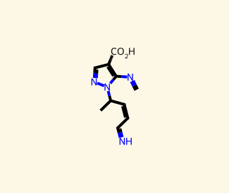 C=Nc1c(C(=O)O)cnn1C(C)/C=C\C=N